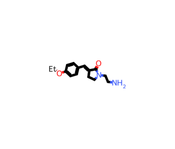 CCOc1ccc(/C=C2\CCN(CCN)C2=O)cc1